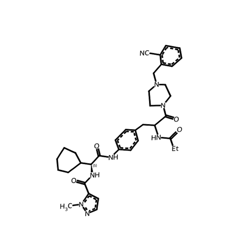 CCC(=O)NC(Cc1ccc(NC(=O)[C@@H](NC(=O)c2ccnn2C)C2CCCCC2)cc1)C(=O)N1CCN(Cc2ccccc2C#N)CC1